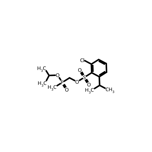 CC(C)OP(C)(=O)COS(=O)(=O)c1c(Cl)cccc1C(C)C